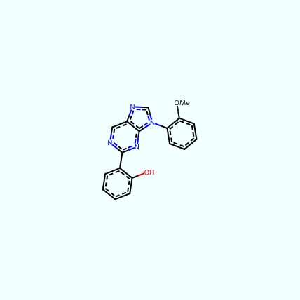 COc1ccccc1-n1cnc2cnc(-c3ccccc3O)nc21